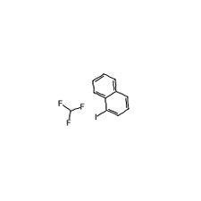 FC(F)F.Ic1cccc2ccccc12